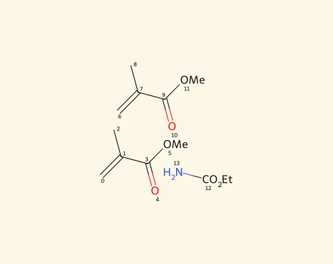 C=C(C)C(=O)OC.C=C(C)C(=O)OC.CCOC(N)=O